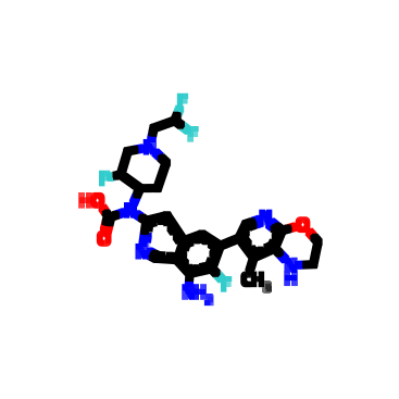 Cc1c(-c2cc3cc(N(C(=O)O)C4CCN(CC(F)F)CC4F)ncc3c(N)c2F)cnc2c1NCCO2